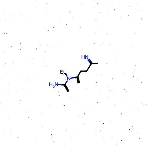 C=C(N)N(CC)C(=C)CCC(C)=N